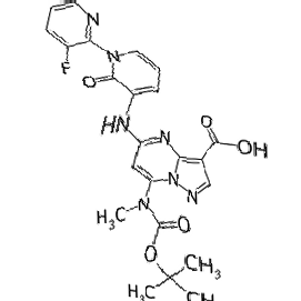 CN(C(=O)OC(C)(C)C)c1cc(Nc2cccn(-c3ncccc3F)c2=O)nc2c(C(=O)O)cnn12